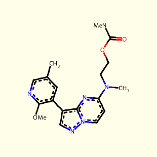 CNC(=O)OCCN(C)c1ccn2ncc(-c3cc(C)cnc3OC)c2n1